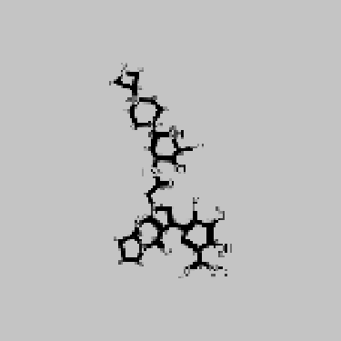 NC(=O)c1cc(-c2cn(CC(=O)NC3=C(Cl)C(F)NC(N4CCN(C5COC5)CC4)=C3)c3nc4n(c(=O)c23)CCC4)c(F)c(Cl)c1O